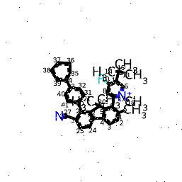 Cc1ccc2c(c1-c1cc(F)c(C(C)(C)C)c[n+]1C)C(C)(C)c1c-2ccc(C#N)c1-c1ccc(-c2ccccc2)cc1